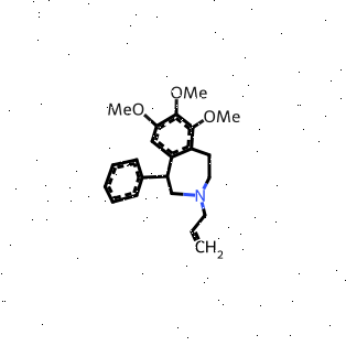 C=CCN1CCc2c(cc(OC)c(OC)c2OC)C(c2ccccc2)C1